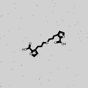 O=C(O)c1occc1C[CH]COC[CH]Cc1ccoc1C(=O)O